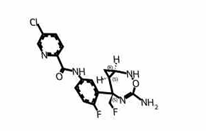 NC1=N[C@](CF)(c2cc(NC(=O)c3ccc(Cl)cn3)ccc2F)[C@H]2C[C@H]2NO1